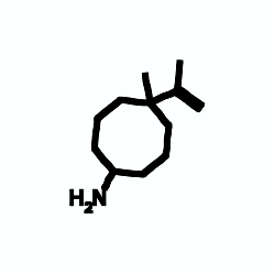 C=C(C)C1(C)CCCC(N)CCC1